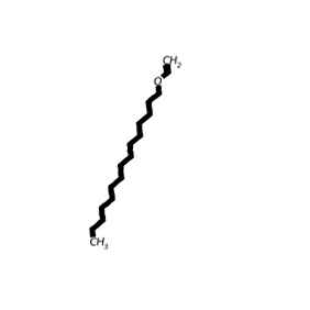 C=COCCCCCCCCCCCCCCC